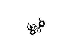 CCC1(C(=O)OC)CCCC1OC(=O)c1cccc(C)c1